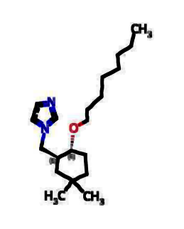 CCCCCCCCO[C@@H]1CCC(C)(C)C[C@H]1Cn1ccnc1